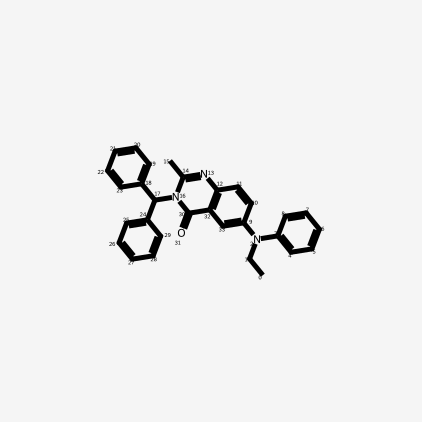 CCN(c1ccccc1)c1ccc2nc(C)n(C(c3ccccc3)c3ccccc3)c(=O)c2c1